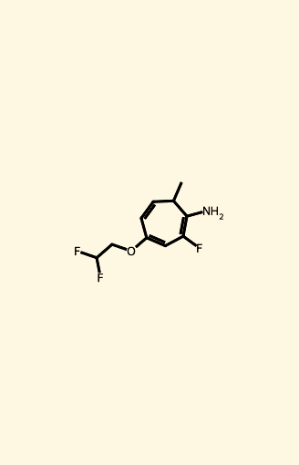 CC1C=CC(OCC(F)F)=CC(F)=C1N